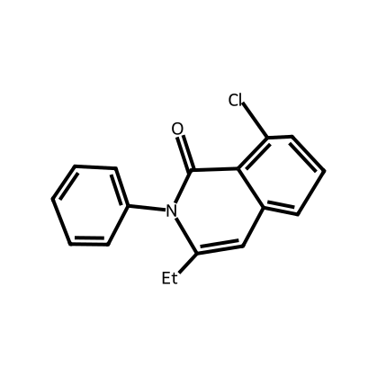 CCc1cc2cccc(Cl)c2c(=O)n1-c1ccccc1